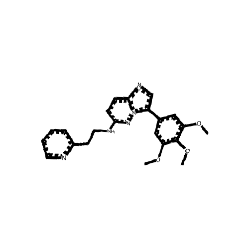 COc1cc(-c2cnc3ccc(NCCc4ccccn4)nn23)cc(OC)c1OC